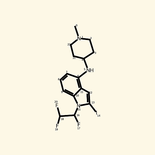 CN1CCC(Nc2cccc3c2cc(I)n3C(F)C(F)F)CC1